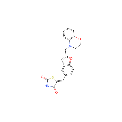 O=C1NC(=O)C(=Cc2ccc3oc(CN4CCOc5ccccc54)cc3c2)S1